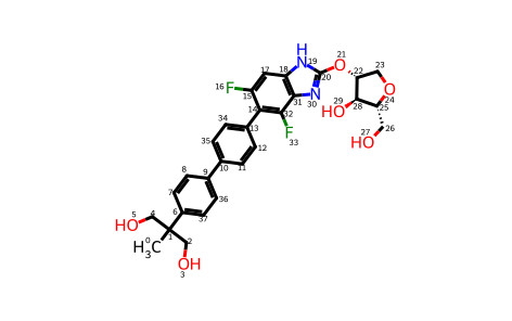 CC(CO)(CO)c1ccc(-c2ccc(-c3c(F)cc4[nH]c(O[C@@H]5CO[C@H](CO)[C@H]5O)nc4c3F)cc2)cc1